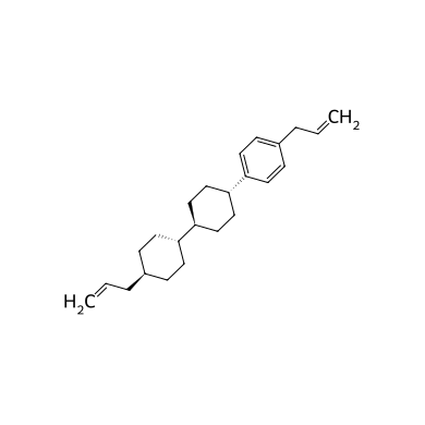 C=CCc1ccc([C@H]2CC[C@H]([C@H]3CC[C@H](CC=C)CC3)CC2)cc1